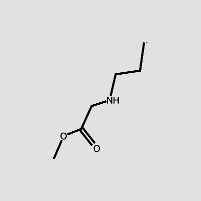 [CH2]CCNCC(=O)OC